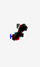 O=C(NS(=O)(=O)C1CC1)c1cc(C2CC2)c(OCC2CCN(C(=O)c3ccccc3C(F)(F)F)CC2)cc1F